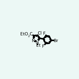 CCOC(=O)c1nn(CC)c(-c2c(F)cc(Br)cc2F)c1Cl